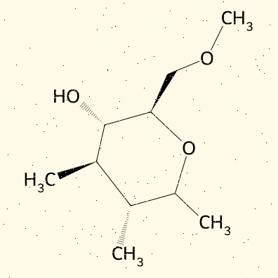 COC[C@H]1OC(C)[C@H](C)[C@@H](C)[C@@H]1O